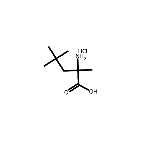 CC(C)(C)CC(C)(N)C(=O)O.Cl